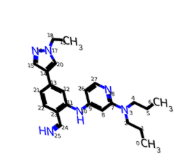 CCCN(CCC)c1cc(Nc2cc(-c3cnn(CC)c3)ccc2C=N)ccn1